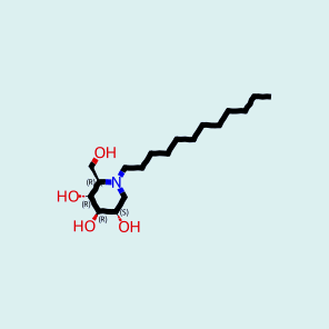 CCCCCCCCCCCCN1C[C@H](O)[C@@H](O)[C@H](O)[C@H]1CO